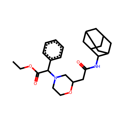 CCOC(=O)C(c1ccccc1)N1CCOC(CC(=O)NC2C3CC4CC(C3)CC2C4)C1